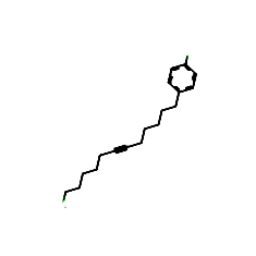 Clc1ccc(CCCCCC#CCCCCCBr)cc1